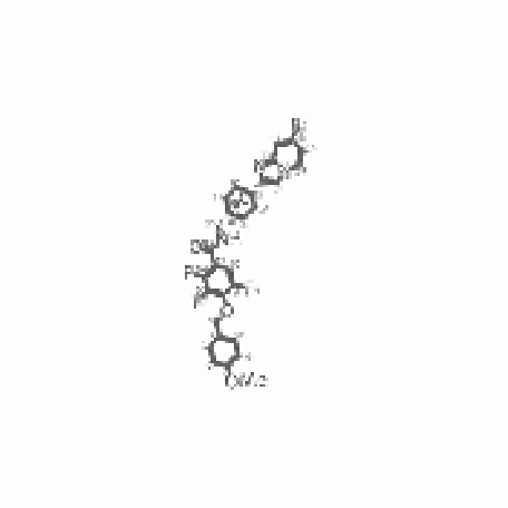 COc1ccc(COc2c(F)cc(C(=O)NC[C@]34CC[C@](c5cn6ccc(Br)cc6n5)(CC3)CC4)c(F)c2F)cc1